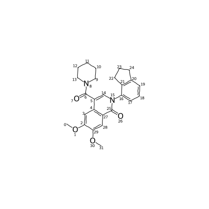 COc1cc2c(C(=O)N3CCCCC3)cn(-c3cccc4c3CCC4)c(=O)c2cc1OC